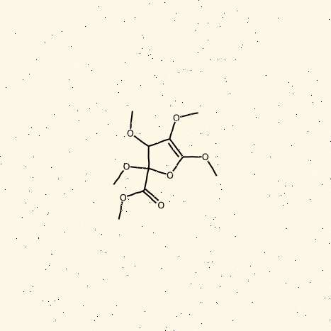 COC(=O)C1(OC)OC(OC)=C(OC)C1OC